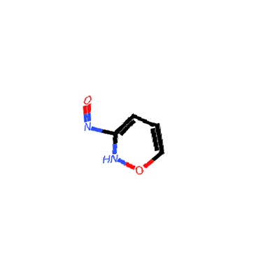 O=NC1=CC=CON1